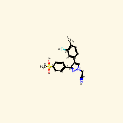 Cc1ccc(-c2cn(CC#N)nc2-c2ccc(S(C)(=O)=O)cc2)cc1F